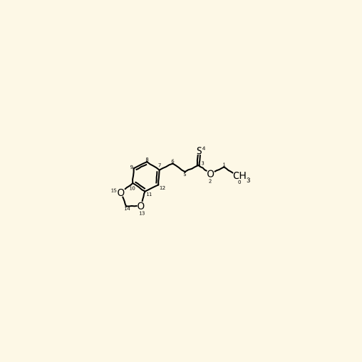 CCOC(=S)CCc1ccc2c(c1)OCO2